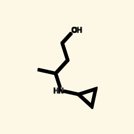 CC(CCO)NC1CC1